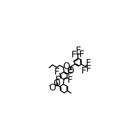 CCCCC(OC(=O)c1cc(C(F)(F)F)cc(C(F)(F)F)c1)c1c(F)c(F)c(C2C=C(C)CC=C2C(=O)OC)c(F)c1F